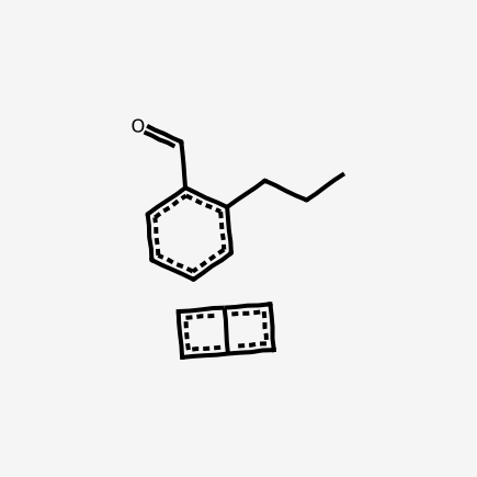 CCCc1ccccc1C=O.c1cc2ccc1-2